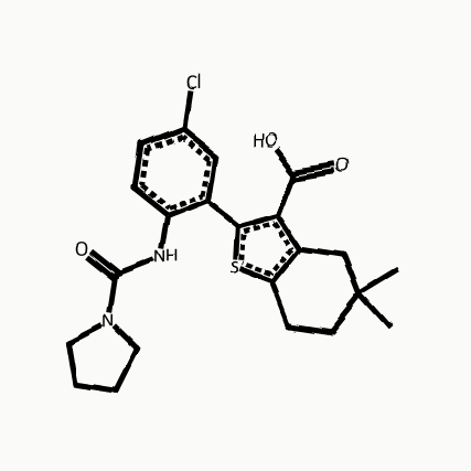 CC1(C)CCc2sc(-c3cc(Cl)ccc3NC(=O)N3CCCC3)c(C(=O)O)c2C1